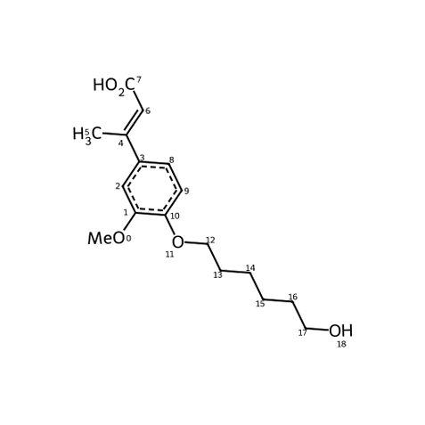 COc1cc(/C(C)=C/C(=O)O)ccc1OCCCCCCO